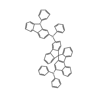 c1ccc(N(c2ccc3c(c2)-c2ccccc2C32c3ccccc3-c3c2cc(N(c2ccccc2)c2ccccc2)c2ccccc32)c2ccc3c4ccccc4n(-c4ccccc4)c3c2)cc1